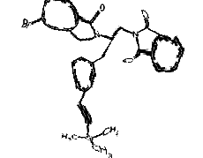 C[Si](C)(C)C#Cc1cccc(C[C@H](CN2C(=O)c3ccccc3C2=O)N2Cc3cc(Br)ccc3C2=O)c1